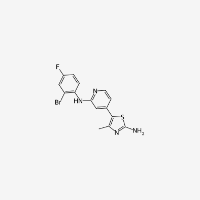 Cc1nc(N)sc1-c1ccnc(Nc2ccc(F)cc2Br)c1